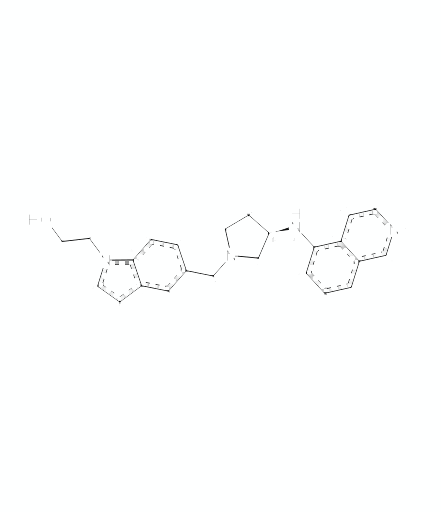 OCCn1ccc2cc(CN3CC[C@@H](Nc4cccc5cnccc45)C3)ccc21